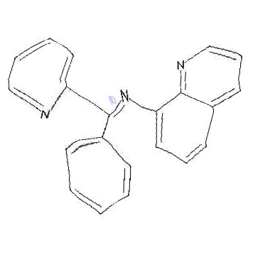 c1ccc(/C(=N\c2cccc3cccnc23)c2ccccn2)cc1